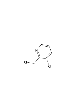 ClCc1ncccc1Cl